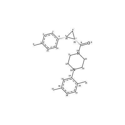 Cc1ccc([C@@H]2C[C@@H]2C(=O)N2CCN(c3cc(C)ccc3C)CC2)cc1